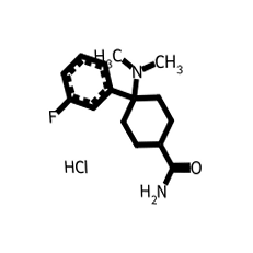 CN(C)C1(c2cccc(F)c2)CCC(C(N)=O)CC1.Cl